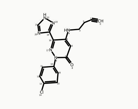 C#CCCNc1cc(=O)n(-c2ccc(Cl)cc2)nc1-c1nc[nH]n1